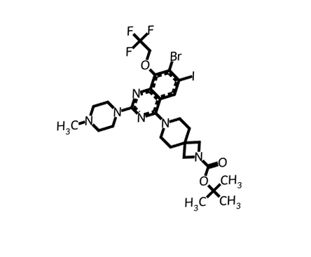 CN1CCN(c2nc(N3CCC4(CC3)CN(C(=O)OC(C)(C)C)C4)c3cc(I)c(Br)c(OCC(F)(F)F)c3n2)CC1